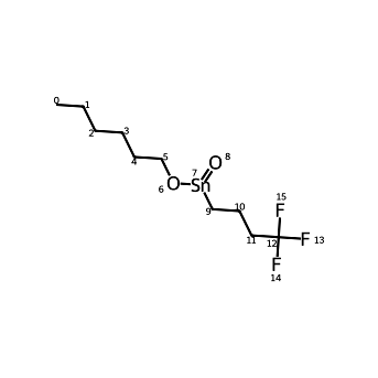 CCCCCC[O][Sn](=[O])[CH2]CCC(F)(F)F